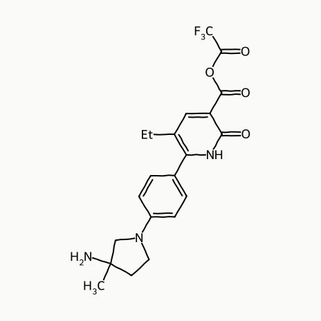 CCc1cc(C(=O)OC(=O)C(F)(F)F)c(=O)[nH]c1-c1ccc(N2CCC(C)(N)C2)cc1